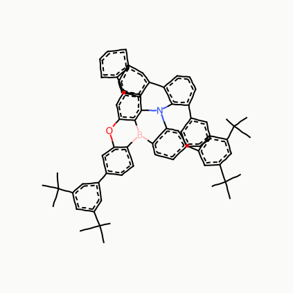 CC(C)(C)c1cc(-c2ccc3c(c2)Oc2cc(-c4ccccc4)cc4c2B3c2ccc(-c3cc(C(C)(C)C)cc(C(C)(C)C)c3)cc2N4c2c(-c3ccccc3)cccc2-c2ccccc2)cc(C(C)(C)C)c1